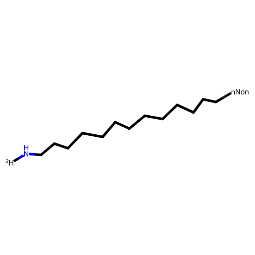 [2H]NCCCCCCCCCCCCCCCCCCCCCC